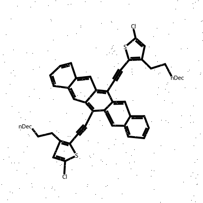 CCCCCCCCCCCCc1cc(Cl)sc1C#Cc1c2cc3ccccc3cc2c(C#Cc2sc(Cl)cc2CCCCCCCCCCCC)c2cc3ccccc3cc12